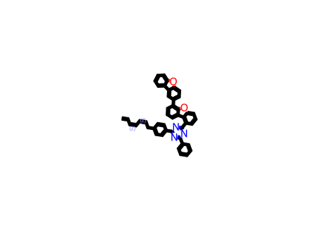 C=C/C=C\C=C/Cc1ccc(-c2nc(-c3ccccc3)nc(-c3cccc4oc5c(-c6ccc7oc8ccccc8c7c6)cccc5c34)n2)cc1